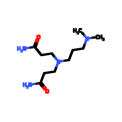 CN(C)CCCN(CCC(N)=O)CCC(N)=O